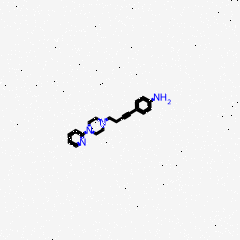 Nc1ccc(C#CCCN2CCN(c3ccccn3)CC2)cc1